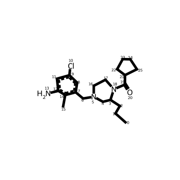 CCCC1CN(Cc2cc(Cl)cc(N)c2C)CCN1C(=O)C1CCCC1